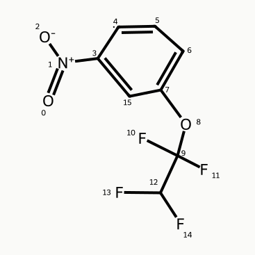 O=[N+]([O-])c1[c]ccc(OC(F)(F)C(F)F)c1